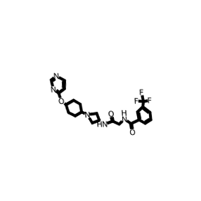 O=C(CNC(=O)c1cccc(C(F)(F)F)c1)NC1CN(C2CCC(Oc3ccncn3)CC2)C1